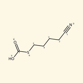 N#CCCCCSC(=O)O